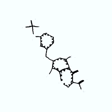 O=C(O)c1c[nH]c2c(F)c(Cc3cccc(OC(F)(F)F)c3)cc(F)c2c1=O